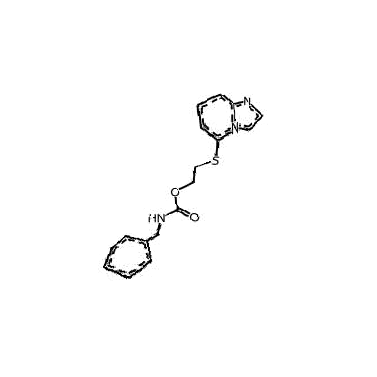 O=C(NCc1ccccc1)OCCSc1cccc2nccn12